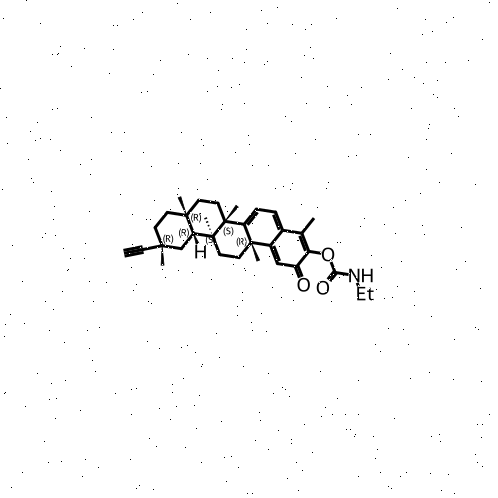 C#C[C@]1(C)CC[C@]2(C)CC[C@]3(C)C4=CC=C5C(=CC(=O)C(OC(=O)NCC)=C5C)[C@]4(C)CC[C@@]3(C)[C@@H]2C1